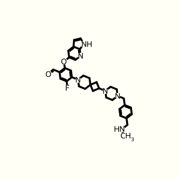 CNCc1ccc(CN2CCN(C3CC4(CCN(c5cc(Oc6cnc7[nH]ccc7c6)c(C=O)cc5F)CC4)C3)CC2)cc1